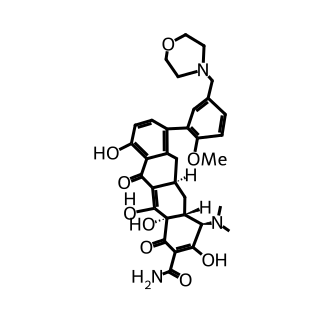 COc1ccc(CN2CCOCC2)cc1-c1ccc(O)c2c1C[C@H]1C[C@@H]3[C@@H](N(C)C)C(O)=C(C(N)=O)C(=O)[C@@]3(O)C(O)=C1C2=O